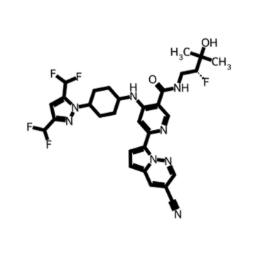 CC(C)(O)[C@H](F)CNC(=O)c1cnc(-c2ccc3cc(C#N)cnn23)cc1NC1CCC(n2nc(C(F)F)cc2C(F)F)CC1